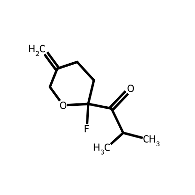 C=C1CCC(F)(C(=O)C(C)C)OC1